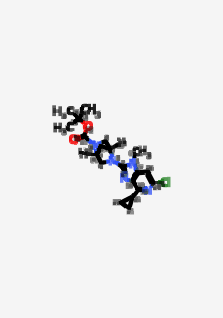 Cn1c(N2C[C@H]3C[C@@H]2CN3C(=O)OC(C)(C)C)nc2c(C3CC3)nc(Cl)cc21